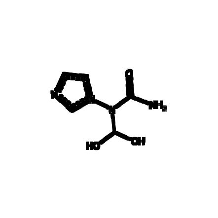 NC(=O)N(C(O)O)n1ccnc1